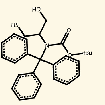 CC(C)(C)OC(=O)N(C(CO)CS)C(c1ccccc1)(c1ccccc1)c1ccccc1